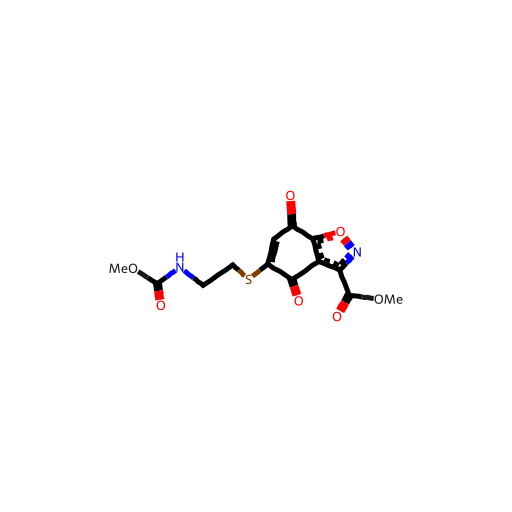 COC(=O)NCCSC1=CC(=O)c2onc(C(=O)OC)c2C1=O